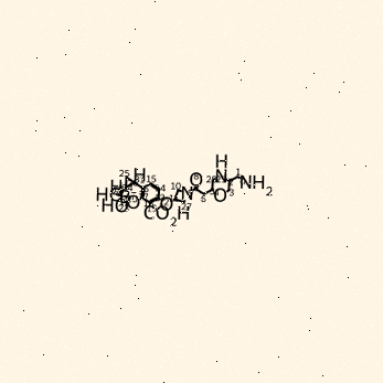 NCC1COC(CC(=O)N2CC(Oc3ccc4c(c3C(=O)O)O[B-](O)(O)[C@H]3C[C@@H]43)C2)CN1